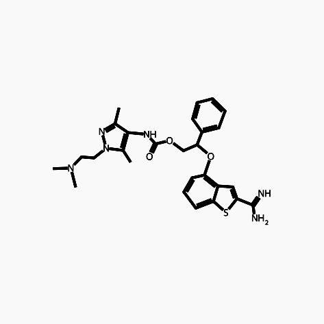 Cc1nn(CCN(C)C)c(C)c1NC(=O)OCC(Oc1cccc2sc(C(=N)N)cc12)c1ccccc1